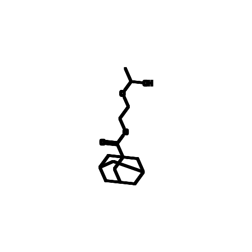 CC(O)OCCOC(=O)C12CC3CC(CC(C3)C1)C2